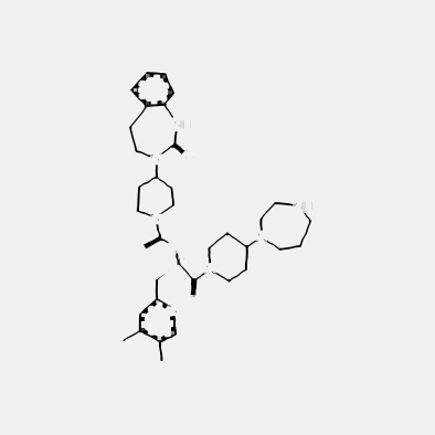 Cc1cnc(C[C@@H](OC(=O)N2CCC(N3CCc4ccccc4NC3=O)CC2)C(=O)N2CCC(N3CCCNCC3)CC2)cc1C